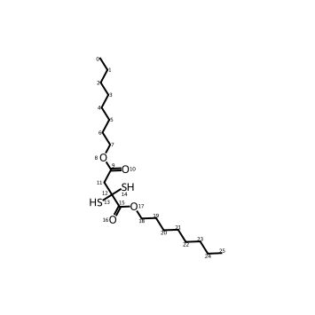 CCCCCCCCOC(=O)CC(S)(S)C(=O)OCCCCCCCC